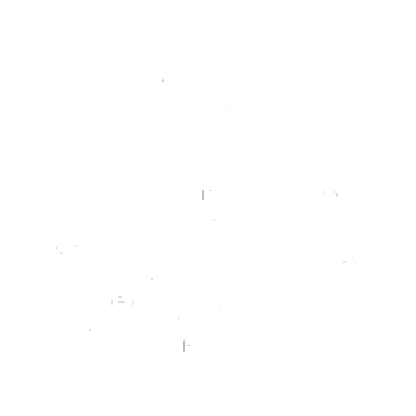 CC(C)(C)c1cc2c(cc1C(C)(C)C)[CH]([Hf+2]([C]1=CC=CC1)=[C](c1cccc(Cl)c1)c1cccc(Cl)c1)c1cc(C(C)(C)C)c(C(C)(C)C)cc1-2.[Cl-].[Cl-]